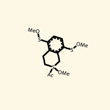 COSc1ccc(SOC)c2c1CCS(OC)(C(C)=O)C2